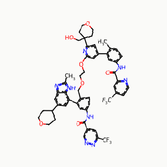 Cc1nc2cc(C3CCOCC3)cc(-c3cc(NC(=O)c4cnnc(C(F)(F)F)c4)ccc3COCCOc3cc(-c4cc(NC(=O)c5cc(C(F)(F)F)ccn5)ccc4C)cc(C4(CO)CCOCC4)n3)c2[nH]1